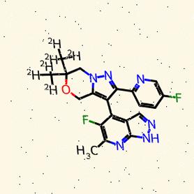 [2H]C([2H])([2H])C1(C([2H])([2H])[2H])Cn2nc(-c3ccc(F)cn3)c(-c3c(F)c(C)nc4[nH]ncc34)c2CO1